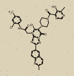 CCc1c(N2CCN(C(=O)c3ncnc(C)c3O)CC2)c(=O)n2nc(-c3ccc4nc(C)ccc4c3)nc2n1CC(=O)Nc1ccc(C(F)(F)F)cc1Cl